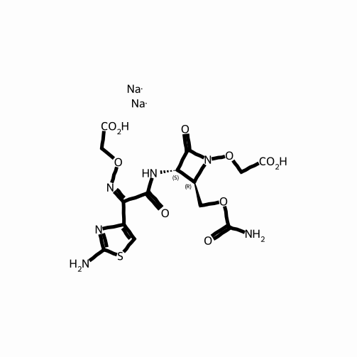 NC(=O)OC[C@H]1[C@H](NC(=O)C(=NOCC(=O)O)c2csc(N)n2)C(=O)N1OCC(=O)O.[Na].[Na]